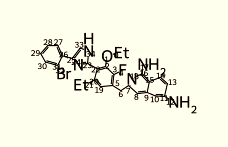 CCOc1c(F)c(Cc2cc3cc(N)ccc3c(N)n2)cc(CC)c1-c1nc(-c2ccccc2Br)c[nH]1